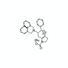 CC(C)(C)OC(=O)N1CCC(F)=C1CC(C(O)c1ccccc1)N(Cc1ccccc1)Cc1ccccc1